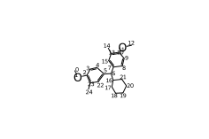 COc1ccc(C(c2ccc(OC)c(C)c2)C2CCCCC2)cc1C